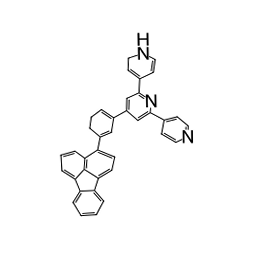 C1=CC(c2cc(C3=CCCC(c4ccc5c6c(cccc46)-c4ccccc4-5)=C3)cc(-c3ccncc3)n2)=CCN1